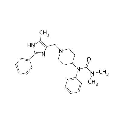 Cc1[nH]c(-c2ccccc2)nc1CN1CCC(N(C(=O)N(C)C)c2ccccc2)CC1